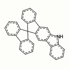 c1ccc2c(c1)-c1ccccc1C21c2ccccc2-c2cc3[nH]c4ccccc4c3cc21